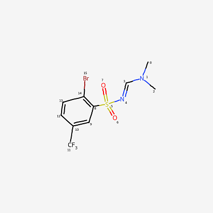 CN(C)/C=N/S(=O)(=O)c1cc(C(F)(F)F)ccc1Br